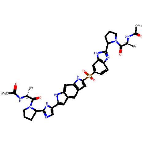 COC(=O)N[C@H](C(=O)N1CCCC1c1nc2ccc(S(=O)(=O)c3cc4cc5cc(-c6cnc(C7CCCN7C(=O)[C@H](NC(=O)OC)C(C)C)[nH]6)[nH]c5cc4[nH]3)cc2[nH]1)C(C)C